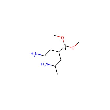 CO[SiH](OC)C(CCN)CC(C)N